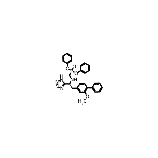 COc1cc(C[C@H](NCP(=O)(Oc2ccccc2)Oc2ccccc2)c2nnn[nH]2)ccc1-c1ccccc1